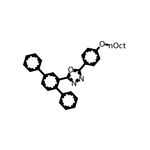 CCCCCCCCOc1ccc(-c2nnc(-c3cc(-c4ccccc4)ccc3-c3ccccc3)o2)cc1